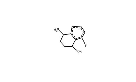 NC1CCC(O)c2c(F)cccc21